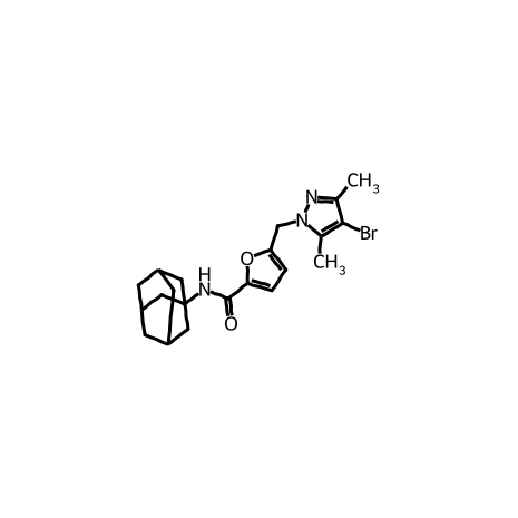 Cc1nn(Cc2ccc(C(=O)NC34CC5CC(CC(C5)C3)C4)o2)c(C)c1Br